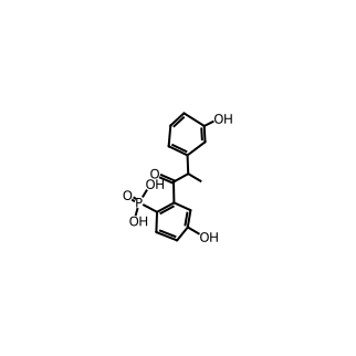 CC(C(=O)c1cc(O)ccc1P(=O)(O)O)c1cccc(O)c1